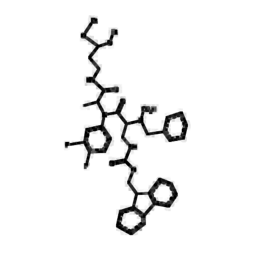 CCOC(CCNC(=O)C(C)N(C(=O)C(CNC(=O)OCC1c2ccccc2-c2ccccc21)N(Cc1ccccc1)C(=O)O)c1ccc(F)c(F)c1)OCC